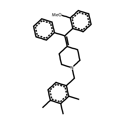 COc1ccccc1C(=C1CCN(Cc2ccc(C)c(C)c2C)CC1)c1ccccc1